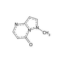 Cn1ccc2nccc(=O)n21